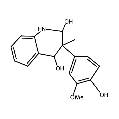 COc1cc(C2(C)C(O)Nc3ccccc3C2O)ccc1O